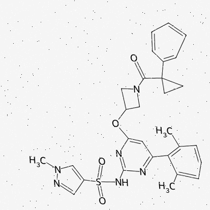 Cc1cccc(C)c1-c1cc(OC2CN(C(=O)C3(c4ccccc4)CC3)C2)nc(NS(=O)(=O)c2cnn(C)c2)n1